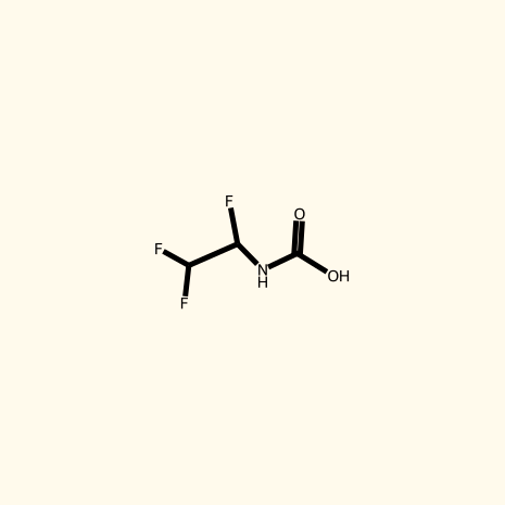 O=C(O)NC(F)C(F)F